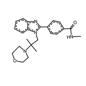 CNC(=O)c1ccc(-c2nc3ccccc3n2CC(C)(C)N2CCOCC2)cc1